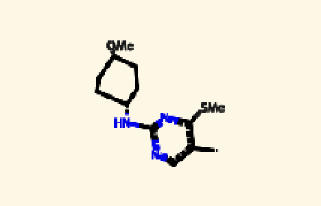 [CH2]c1cnc(N[C@H]2CC[C@H](OC)CC2)nc1SC